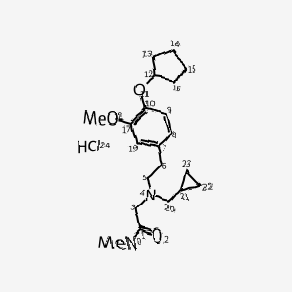 CNC(=O)CN(CCc1ccc(OC2CCCC2)c(OC)c1)CC1CC1.Cl